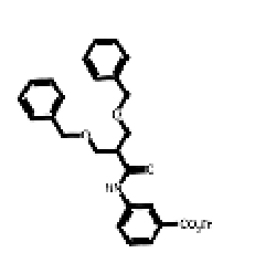 CCOC(=O)c1cccc(NC(=O)C(COCc2ccccc2)COCc2ccccc2)c1